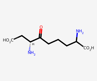 NC(CCCC(=O)[C@H](N)CC(=O)O)C(=O)O